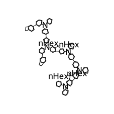 CCCCCCC1(CCCCCC)c2cc(N(c3ccccc3)c3ccccc3)ccc2-c2ccc(N(c3ccccc3)c3ccc(-c4ccc(N(c5ccccc5)c5ccc6c(c5)C(CCCCCC)(CCCCCC)c5cc(N(c7ccc(-c8ccc(N(c9ccccc9)c9cccc(-c%10ccc%11c(c%10)CC%11)c9)cc8)cc7)c7cccc(-c8ccc9c(c8)CC9)c7)ccc5-6)cc4)cc3)cc21